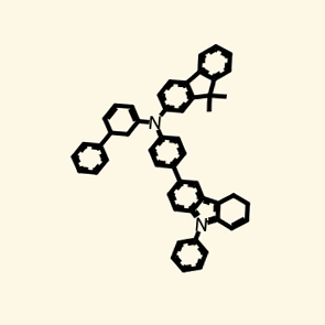 CC1(C)c2ccccc2-c2ccc(N(C3=CC=CC(c4ccccc4)C3)c3ccc(-c4ccc5c(c4)c4c(n5-c5ccccc5)C=CCC4)cc3)cc21